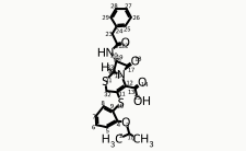 CC(C)Oc1ccccc1SC1=C(C(=O)O)N2C(=O)[C@@H](NC(=O)Cc3ccccc3)[C@@H]2SC1